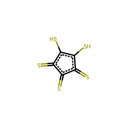 S=c1c(S)c(S)c(=S)c1=S